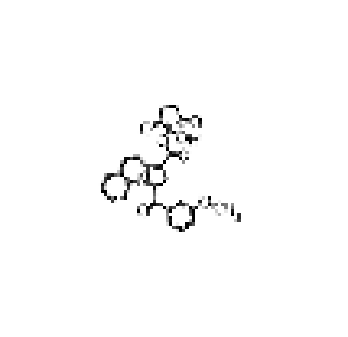 COc1cccc(C(=O)c2cc(C(=O)O[N+]3(O)C(=O)CCC3=O)c3ccc4ccccc4n23)c1